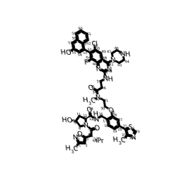 Cc1cc([C@H](C(=O)N2C[C@H](O)C[C@H]2C(=O)NCc2ccc(-c3scnc3C)cc2OCCN(C)C(=O)CCNc2nc(N3CCNCC3)c3cc(Cl)c(-c4cc(O)cc5ccccc45)c(F)c3n2)C(C)C)on1